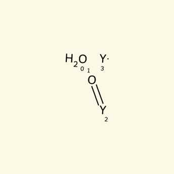 O.[O]=[Y].[Y]